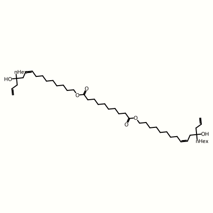 C=CCC(O)(C/C=C\CCCCCCCCOC(=O)CCCCCCCCC(=O)OCCCCCCCC/C=C\CC(O)(CC=C)CCCCCC)CCCCCC